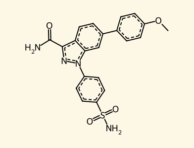 COc1ccc(-c2ccc3c(C(N)=O)nn(-c4ccc(S(N)(=O)=O)cc4)c3c2)cc1